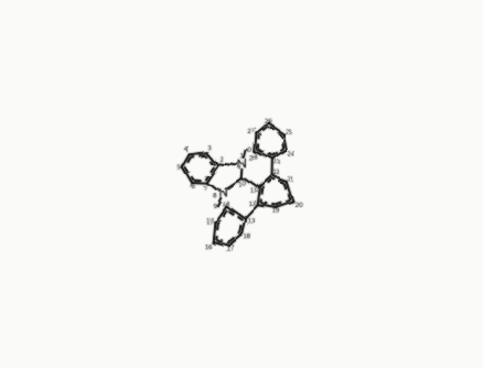 CN1c2ccccc2N(C)C1c1c(-c2ccccc2)cccc1-c1ccccc1